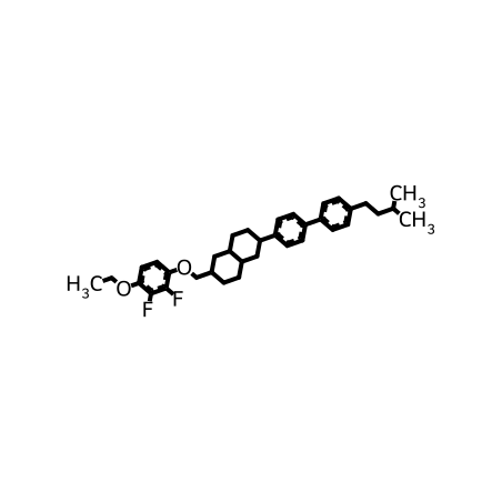 CCOc1ccc(OCC2CCC3CC(c4ccc(-c5ccc(CCC(C)C)cc5)cc4)CCC3C2)c(F)c1F